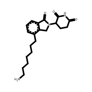 NCCCCCCCc1cccc2c1CN(C1CCC(=O)NC1=O)C2=O